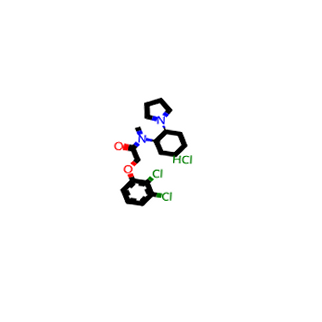 CN(C(=O)COc1cccc(Cl)c1Cl)[C@@H]1CCCC[C@H]1N1CCCC1.Cl